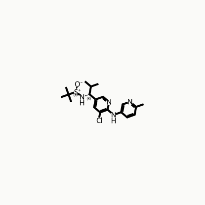 Cc1ccc(Nc2ncc([C@H](N[S@+]([O-])C(C)(C)C)C(C)C)cc2Cl)cn1